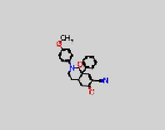 COc1ccc(N2CCC3CC(=O)C(C#N)=CC3(c3ccccc3)C2=O)cc1